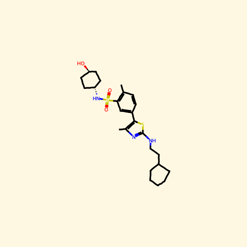 Cc1ccc(-c2sc(NCCC3CCCCC3)nc2C)cc1S(=O)(=O)N[C@H]1CC[C@H](O)CC1